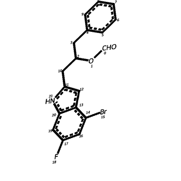 O=COC(Cc1ccccc1)Cc1cc2c(Br)cc(F)cc2[nH]1